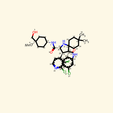 CO[C@]1(CO)CC[C@H](NC(=O)[C@@H]2NC3(CCC(C)(C)CC3)[C@@]3(C(=O)Nc4cc(Cl)ccc43)[C@H]2c2ccnc(Cl)c2F)CC1